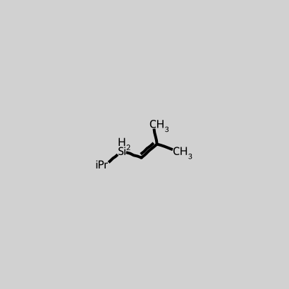 CC(C)=C[SiH2]C(C)C